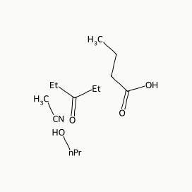 CC#N.CCC(=O)CC.CCCC(=O)O.CCCO